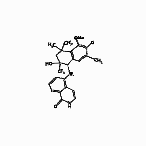 COc1c(Cl)c(C)cc2c1C(C)(C)CC(O)(C(F)(F)F)C2Nc1cccc2c(=O)[nH]ccc12